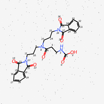 O=C(O)NCCC(=O)N(CCCN1C(=O)c2ccccc2C1=O)CCCN1C(=O)c2ccccc2C1=O